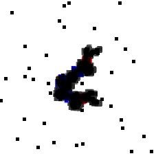 CCCCC(CC)COc1ccc(N=Nc2ccc(-c3ccc(-c4ccccc4N=Nc4ccc(OCC(CC)CCCC)c5ccccc45)c4nsnc34)cc2)c2ccccc12